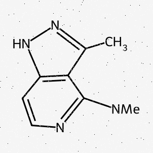 CNc1nccc2[nH]nc(C)c12